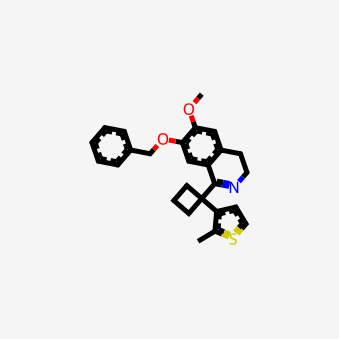 COc1cc2c(cc1OCc1ccccc1)C(C1(c3ccsc3C)CCC1)=NCC2